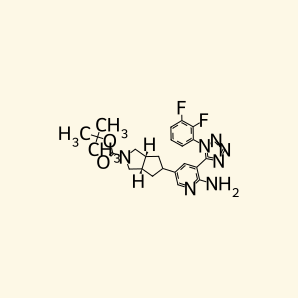 CC(C)(C)OC(=O)N1C[C@H]2CC(c3cnc(N)c(-c4nnnn4-c4cccc(F)c4F)c3)C[C@H]2C1